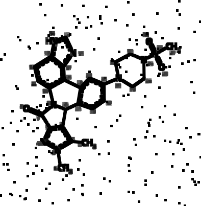 Cc1c2c(nn1C)C(=O)N1c3ccc4[nH]cnc4c3-c3cc(N4CCN(S(C)(=O)=O)CC4)ccc3C21